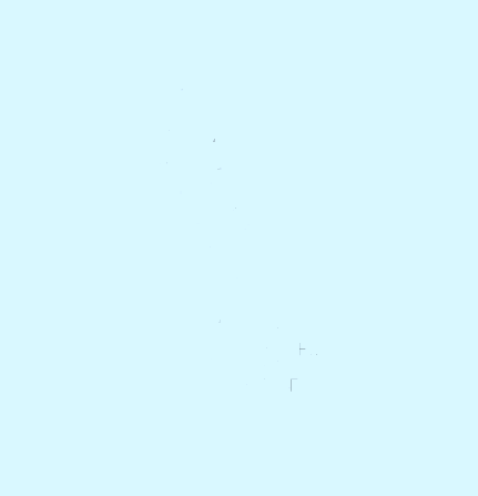 CCCC1CCC(C2CCC(/C=C/CCc3ccc(C)c(C(F)F)c3F)CC2)CC1